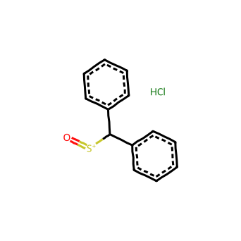 Cl.O=[S+]C(c1ccccc1)c1ccccc1